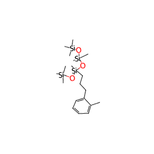 Cc1ccccc1CCC[Si](C)(O[Si](C)(C)C)O[Si](C)(C)O[Si](C)(C)C